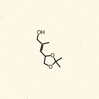 C/C(=C\C1COC(C)(C)O1)CO